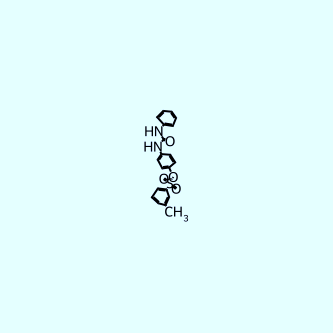 Cc1cccc(S(=O)(=O)Oc2ccc(NC(=O)Nc3ccccc3)cc2)c1